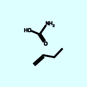 C=CCC.NC(=O)O